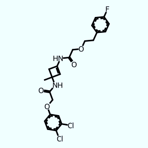 CC1(NC(=O)COc2ccc(Cl)c(Cl)c2)C=C(NC(=O)COCCc2ccc(F)cc2)C1